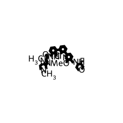 COc1nc(-c2cccc(-c3cccc(NC(=O)c4nc5c(n4C)CCN(C)C5)c3Cl)c2Cl)ccc1CN[C@@H]1CCOC[C@@H]1F